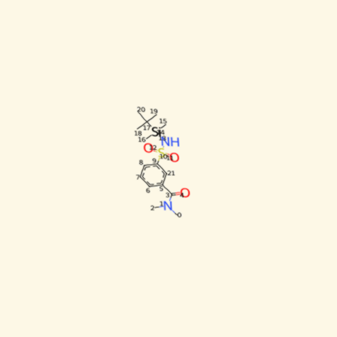 CN(C)C(=O)c1cccc(S(=O)(=O)N[Si](C)(C)C(C)(C)C)c1